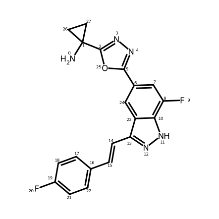 NC1(c2nnc(-c3cc(F)c4[nH]nc(/C=C/c5ccc(F)cc5)c4c3)o2)CC1